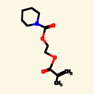 C=C(C)C(=O)OCCOC(=O)N1CCCCC1